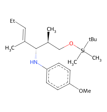 CC/C=C(\C)[C@@H](Nc1ccc(OC)cc1)[C@@H](C)CO[Si](C)(C)C(C)(C)C